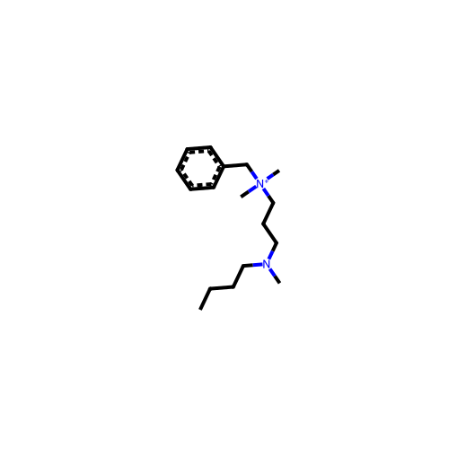 CCCCN(C)CCC[N+](C)(C)Cc1ccccc1